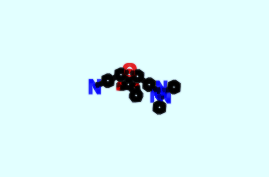 N#Cc1ccc(-c2ccc3c(c2)C2(c4cc(-c5ccc(-c6nc(-c7ccccc7)nc(-c7ccccc7)n6)cc5)ccc4O3)c3ccccc3-c3c2ccc2ccccc32)cc1